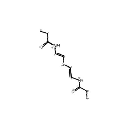 CCC(=O)NC=CSC=CNC(=O)CC